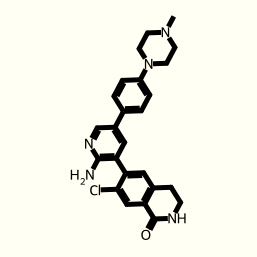 CN1CCN(c2ccc(-c3cnc(N)c(-c4cc5c(cc4Cl)C(=O)NCC5)c3)cc2)CC1